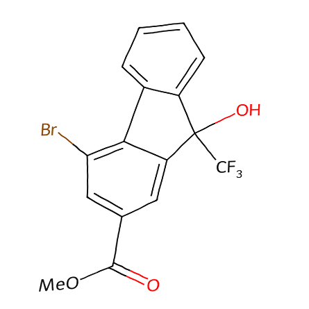 COC(=O)c1cc(Br)c2c(c1)C(O)(C(F)(F)F)c1ccccc1-2